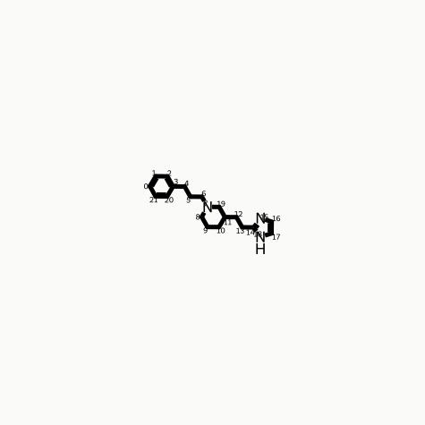 c1ccc(CCCN2CCCC(CCc3ncc[nH]3)C2)cc1